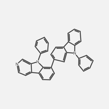 c1ccc(-n2c3ccccc3c3ccc(-c4cccc5c6ccncc6n(-c6ccccc6)c45)cc32)cc1